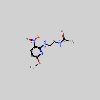 COc1ccc([N+](=O)[O-])c(NCCNC(C)=O)n1